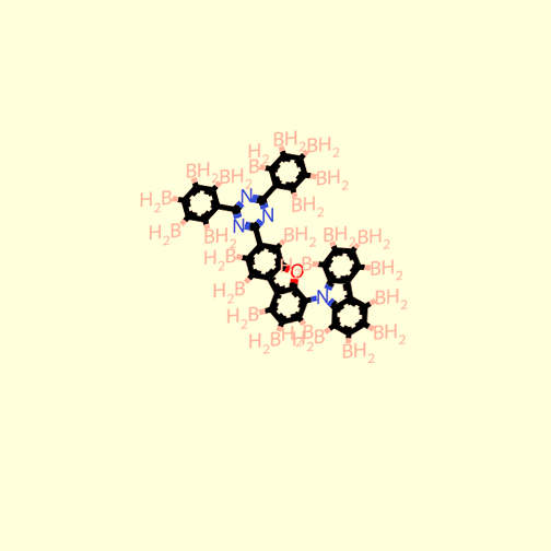 Bc1c(B)c(B)c(-c2nc(-c3c(B)c(B)c(B)c(B)c3B)nc(-c3c(B)c(B)c4c(oc5c(-n6c7c(B)c(B)c(B)c(B)c7c7c(B)c(B)c(B)c(B)c76)c(B)c(B)c(B)c54)c3B)n2)c(B)c1B